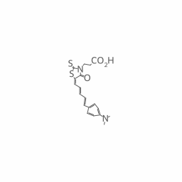 CN(C)c1ccc(C=CC=CC=C2SC(=S)N(CCC(=O)O)C2=O)cc1